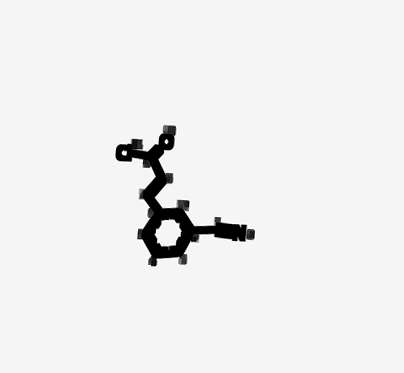 N#Cc1cccc(C=CC(=O)Cl)c1